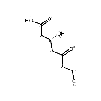 O=C(O)C[C@H](O)CC(=O)CCCl